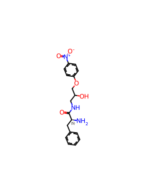 N[C@@H](Cc1ccccc1)C(=O)NCC(O)COc1ccc([N+](=O)[O-])cc1